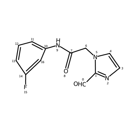 O=Cc1nccn1CC(=O)Nc1cccc(F)c1